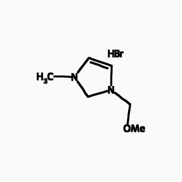 Br.COCN1C=CN(C)C1